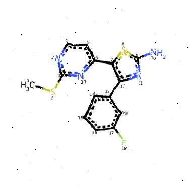 CSc1nccc(-c2sc(N)nc2-c2cccc(F)c2)n1